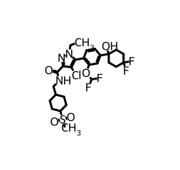 CCn1nc(C(=O)NCC2CCC(S(C)(=O)=O)CC2)c(Cl)c1-c1ccc(C2(O)CCC(F)(F)CC2)cc1OC(F)F